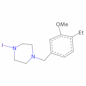 CCc1ccc(CN2CCN(I)CC2)cc1OC